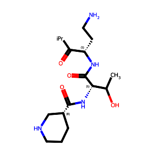 CC(C)C(=O)[C@H](CCN)NC(=O)[C@@H](NC(=O)[C@@H]1CCCNC1)C(C)O